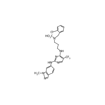 Cn1ncc2ccc(Nc3ncc(C(F)(F)F)c(NCCCN(Cc4ccccc4Cl)C(=O)O)n3)cc21